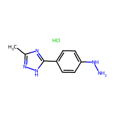 Cc1n[nH]c(-c2ccc(NN)cc2)n1.Cl